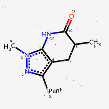 CCCC(C)c1nn(C)c2c1CC(C)C(=O)N2